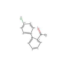 CCC(=O)c1ccccc1-c1ccc(Cl)cc1